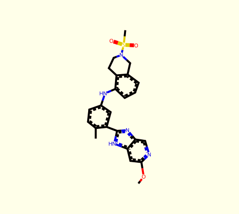 COc1cc2[nH]c(-c3cc(Nc4cccc5c4CCN(S(C)(=O)=O)C5)ccc3C)nc2cn1